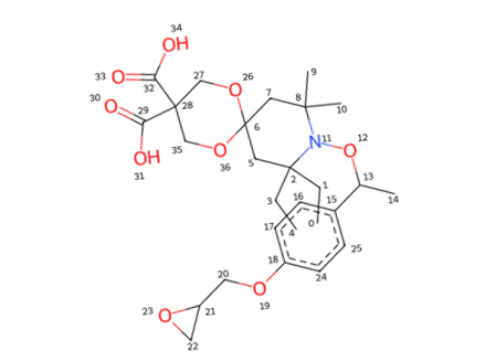 CCC1(CC)CC2(CC(C)(C)N1OC(C)c1ccc(OCC3CO3)cc1)OCC(C(=O)O)(C(=O)O)CO2